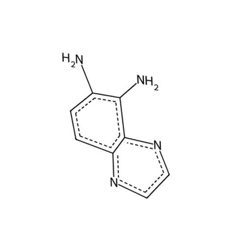 Nc1ccc2nccnc2c1N